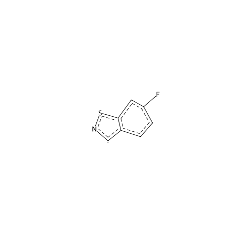 Fc1ccc2[c]nsc2c1